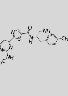 CNc1nccc(-c2ncc(C(=O)N[C@H](CN)Cc3ccc(C)cc3)s2)n1